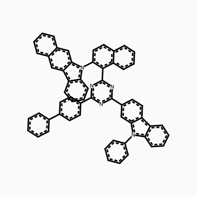 c1ccc(-c2ccc(-c3nc(-c4ccc5c6ccccc6n(-c6ccccc6)c5c4)nc(-c4c(-n5c6ccccc6c6cc7ccccc7cc65)ccc5ccccc45)n3)cc2)cc1